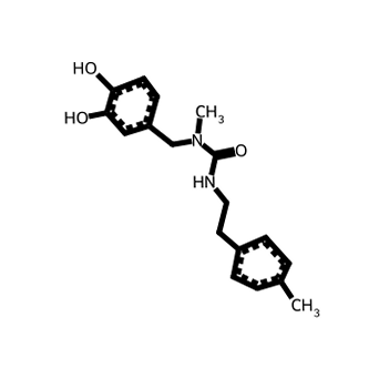 Cc1ccc(CCNC(=O)N(C)Cc2ccc(O)c(O)c2)cc1